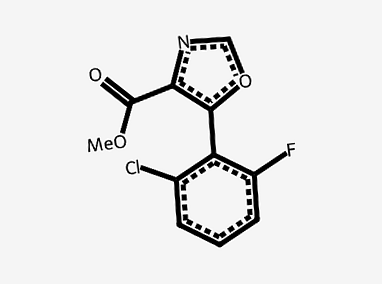 COC(=O)c1ncoc1-c1c(F)cccc1Cl